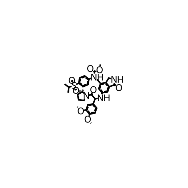 COC(=O)Nc1ccc(S(=O)(=O)C(C)C)c([C@H]2CCCN2C(=O)C(Nc2cc(C)c3c(c2)C(=O)NC3)c2ccc(OC)c(OC)c2)c1